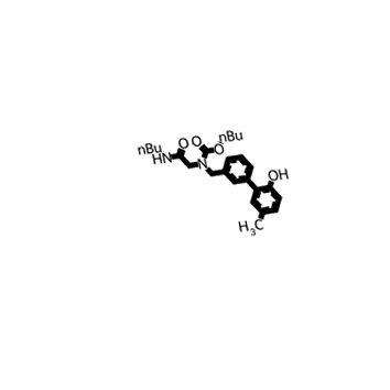 CCCCNC(=O)CN(Cc1cccc(-c2cc(C)ccc2O)c1)C(=O)OCCCC